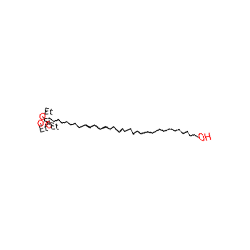 CCO[Si](CCCCCCCCCCCCCCCCCCCCCCCCCCCCCCCCCCO)(OCC)OCC